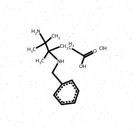 CC(=O)O.CC(C)(N)C(C)(C)NCc1ccccc1.Cl